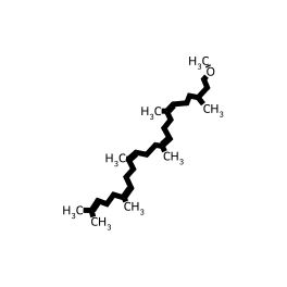 COCCC(C)CCC=C(C)CCC=C(C)CCC=C(C)CCC=C(C)CCC=C(C)C